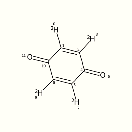 [2H]C1=C([2H])C(=O)C([2H])=C([2H])C1=O